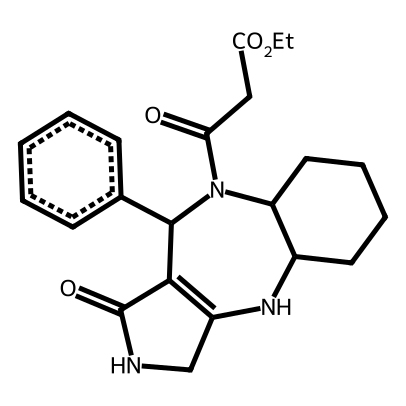 CCOC(=O)CC(=O)N1C(c2ccccc2)C2=C(CNC2=O)NC2CCCCC21